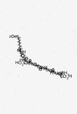 BNC(CCCCNC(=O)COCCOCCNC(=O)COCCOCCNC(=O)CCC(NC(=O)C1CCC(CNC(=O)CCCCCCCCCCCCCCCCCCC)CC1)C(=O)O)C(=O)O